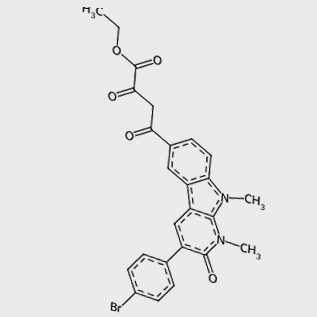 CCOC(=O)C(=O)CC(=O)c1ccc2c(c1)c1cc(-c3ccc(Br)cc3)c(=O)n(C)c1n2C